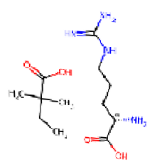 CCC(C)(C)C(=O)O.N=C(N)NCCC[C@H](N)C(=O)O